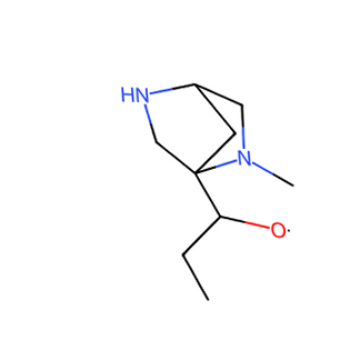 CCC([O])C12CNC(CN1C)C2